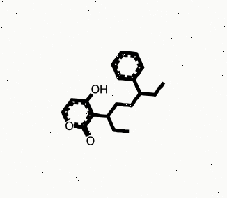 CCC(CCC(CC)c1c(O)ccoc1=O)c1ccccc1